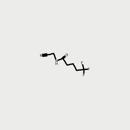 N#CCNC(=O)CCCC(F)(F)F